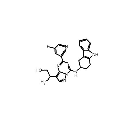 C[C@@H](CO)c1cnn2c(N[C@@H]3CCc4[nH]c5ccccc5c4C3)nc(-c3cncc(F)c3)nc12